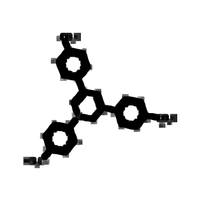 O=C(O)c1ccc(C2=CN(c3ccc(C(=O)O)cc3)CC(c3ccc(C(=O)O)cc3)=C2)cc1